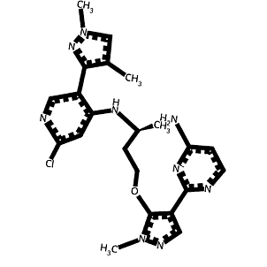 Cc1cn(C)nc1-c1cnc(Cl)cc1N[C@@H](C)CCOc1c(-c2nccc(N)n2)cnn1C